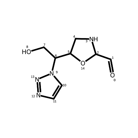 O=CC1NCC(C(CO)n2ccnn2)O1